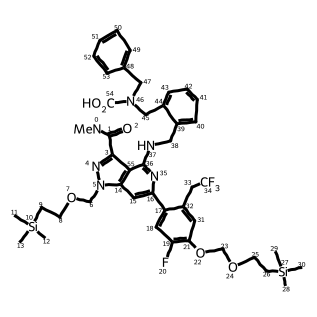 CNC(=O)c1nn(COCC[Si](C)(C)C)c2cc(-c3cc(F)c(OCOCC[Si](C)(C)C)cc3CC(F)(F)F)nc(NCc3ccccc3CN(Cc3ccccc3)C(=O)O)c12